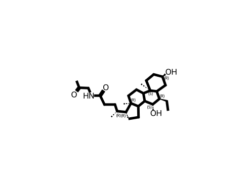 CC[C@@H]1C2C[C@H](O)CC[C@]2(C)C2CC[C@@]3(C)C(CC[C@@H]3[C@H](C)CCC(=O)NCC(C)=O)C2[C@H]1O